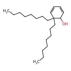 CCCCCCCCC1(CCCCCCCC)C=CC=CC1O